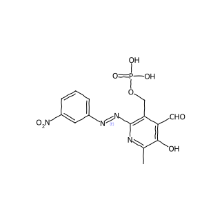 Cc1nc(/N=N/c2cccc([N+](=O)[O-])c2)c(COP(=O)(O)O)c(C=O)c1O